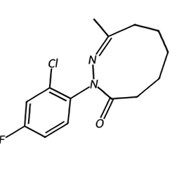 C/C1=N/N(c2ccc(F)cc2Cl)C(=O)CCCCC1